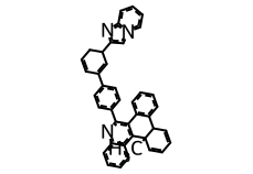 CC12C=CC=CC1c1ccccc1-c1c(-c3ccc(C4=CC(c5cn6ccccc6n5)CC=C4)cc3)nc3ccccc3c12